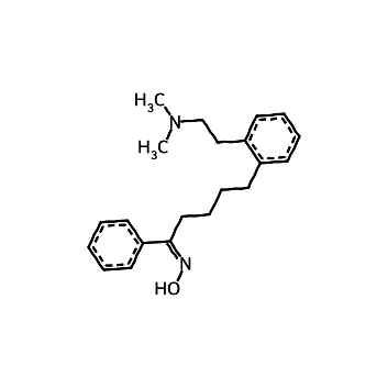 CN(C)CCc1ccccc1CCCCC(=NO)c1ccccc1